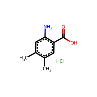 Cc1cc(N)c(C(=O)O)cc1C.Cl